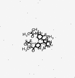 C=C(C)C(=O)Nc1ccc(-c2c(-c3ccc(C(=O)N(C)CC4(F)COC4)cc3)c3c(N)ncnc3n2C)c(F)c1